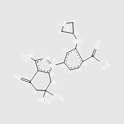 CC1(C)CC(=O)c2c(C(F)(F)F)nn(-c3ccc(C(N)=O)c(NC4CNC4)c3)c2C1